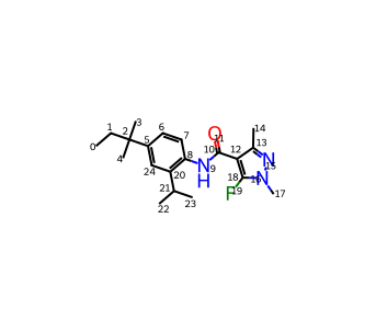 CCC(C)(C)c1ccc(NC(=O)c2c(C)nn(C)c2F)c(C(C)C)c1